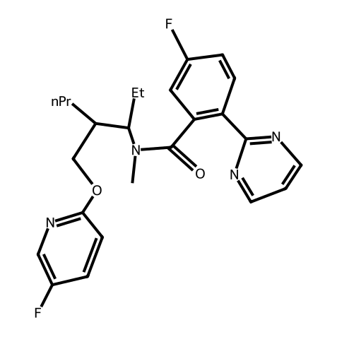 CCCC(COc1ccc(F)cn1)C(CC)N(C)C(=O)c1cc(F)ccc1-c1ncccn1